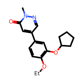 CCOc1ccc(-c2cnn(C)c(=O)c2)cc1OC1CCCC1